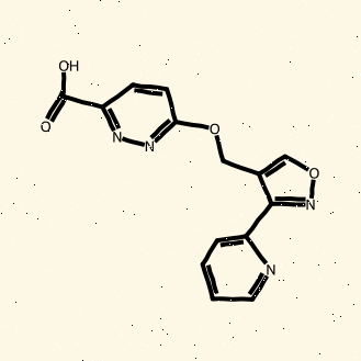 O=C(O)c1ccc(OCc2conc2-c2ccccn2)nn1